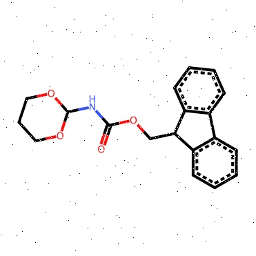 O=C(NC1OCCCO1)OCC1c2ccccc2-c2ccccc21